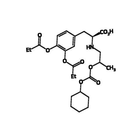 CCC(=O)Oc1ccc(C[C@H](NCC(C)OC(=O)OC2CCCCC2)C(=O)O)cc1OC(=O)CC